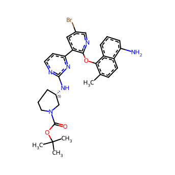 Cc1ccc2c(N)cccc2c1Oc1ncc(Br)cc1-c1ccnc(N[C@H]2CCCN(C(=O)OC(C)(C)C)C2)n1